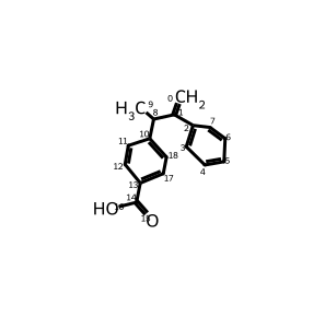 C=C(c1ccccc1)C(C)c1ccc(C(=O)O)cc1